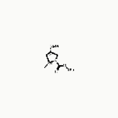 CN[C@H]1C[C@H](C)N(C(=O)OC(C)(C)C)C1